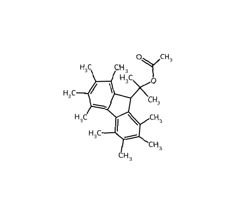 CC(=O)OC(C)(C)C1c2c(C)c(C)c(C)c(C)c2-c2c(C)c(C)c(C)c(C)c21